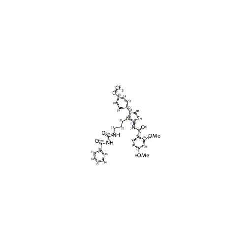 COc1ccc(C(=O)/N=c2\scc(-c3ccc(OC(F)(F)F)cc3)n2CCCNC(=O)NC(=O)c2ccccc2)c(OC)c1